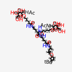 CC(=O)NC1C(OCCCCCC(=O)NCCCC[C@H](NC(=O)CCCCCOC2OC(CO)C(O)C(O)C2NC(C)=O)C(=O)NCCCCCC(=O)NCC(C)CC(C)(C)COC2CCC(C(C)(C)C)C2)OC(CO)C(O)C1O